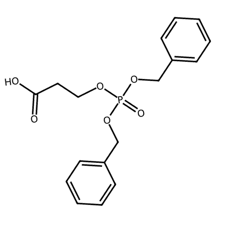 O=C(O)CCOP(=O)(OCc1ccccc1)OCc1ccccc1